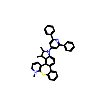 CC1c2c(ccc3c2C2=C(Sc4ccccc4-3)N(C)CC=C2)N(c2cc(-c3ccccc3)nc(-c3ccccc3)c2)C1C